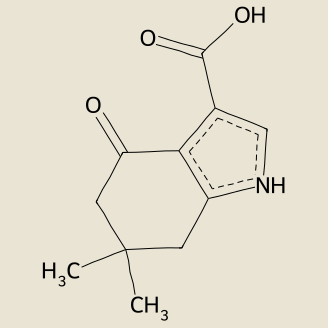 CC1(C)CC(=O)c2c(C(=O)O)c[nH]c2C1